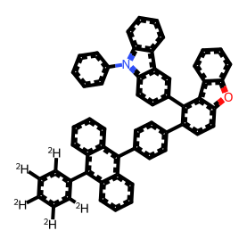 [2H]c1c([2H])c([2H])c(-c2c3ccccc3c(-c3ccc(-c4ccc5oc6ccccc6c5c4-c4ccc5c(c4)c4ccccc4n5-c4ccccc4)cc3)c3ccccc23)c([2H])c1[2H]